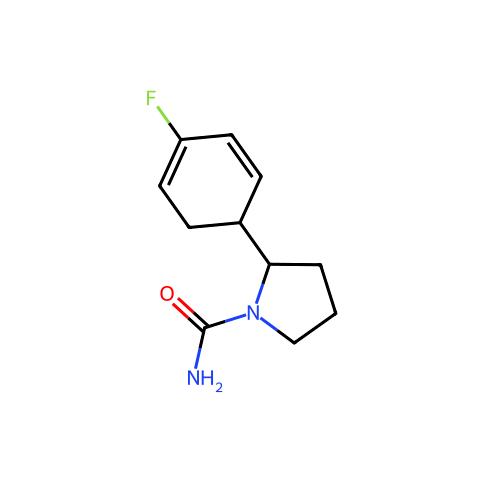 NC(=O)N1CCCC1C1C=CC(F)=CC1